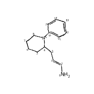 NC=CCC1CCCCN1c1ccccc1